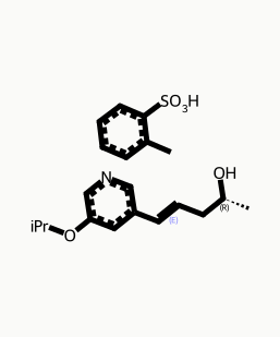 CC(C)Oc1cncc(/C=C/C[C@@H](C)O)c1.Cc1ccccc1S(=O)(=O)O